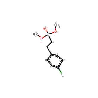 CO[Si](O)(CCc1ccc(F)cc1)OC